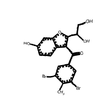 Cc1c(Br)cc(C(=O)c2c(C(O)CO)oc3cc(O)ccc23)cc1Br